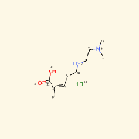 CC(=CCCNCCN(C)C)C(=O)O.Cl